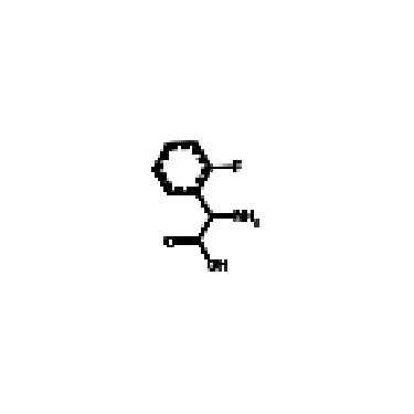 NC(C(=O)O)c1ccccc1F